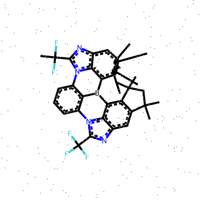 CC(F)(F)c1nc2cc3c(c4c2n1-c1cccc2c1B4c1c4c(cc5nc(C(F)(F)F)n-2c15)C(C)(C)CC4(C)C)C(C)(C)CC3(C)C